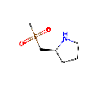 CS(=O)(=O)C[C@@H]1CCCN1